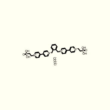 O=P(O)(O)CC[n+]1ccc(-c2cc[n+](Cc3ccccc3C[n+]3ccc(-c4cc[n+](CCP(=O)(O)O)cc4)cc3)cc2)cc1.[Cl-].[Cl-].[Cl-].[Cl-]